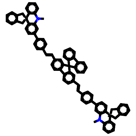 CN1c2ccccc2[Si]2(Cc3ccccc3C2)c2ccc(-c3ccc(/C=C/c4ccc5c(c4)C4(c6ccccc6-c6ccccc64)c4cc(/C=C/c6ccc(-c7ccc8c(c7)N(C)c7ccccc7[Si]87Cc8ccccc8C7)cc6)ccc4-5)cc3)cc21